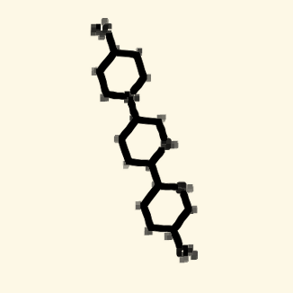 CC1CCN(C2CCC(C3CCC(C)CO3)OC2)CC1